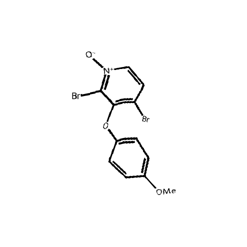 COc1ccc(Oc2c(Br)cc[n+]([O-])c2Br)cc1